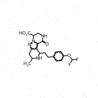 CC1Cc2nn3c(c2C(CCc2ccc(OC(F)F)cc2)N1)C(=O)NCC3C(=O)O